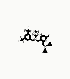 Fc1ccc(CN(Cc2cc(C(F)(F)F)cc(C(F)(F)F)c2)c2nnn[nH]2)c(CN(C2CC2)C2CC2)n1